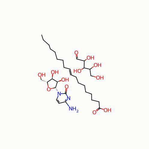 CCCCCCCC/C=C/CCCCCCCC(=O)O.Nc1ccn([C@@H]2O[C@H](CO)[C@@H](O)[C@H]2O)c(=O)n1.O=CC(O)C(O)C(O)CO